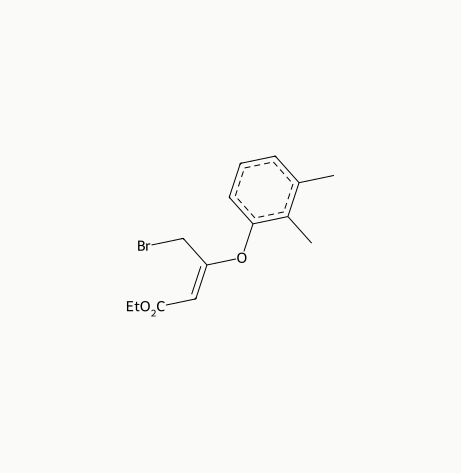 CCOC(=O)C=C(CBr)Oc1cccc(C)c1C